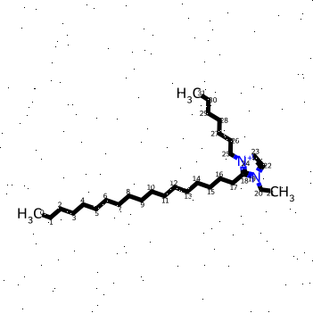 CCCCCCCCCCCCCCCCCCc1n(CC)cc[n+]1CCCCCCC